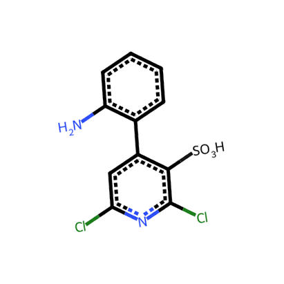 Nc1ccccc1-c1cc(Cl)nc(Cl)c1S(=O)(=O)O